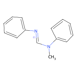 CN(/C=N/c1ccccc1)c1ccccc1